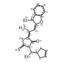 CCC(N1CC=CC1)N1C(=O)/C(=C(C)\C=C2\Oc3ccccc3N2CC)SC1=S